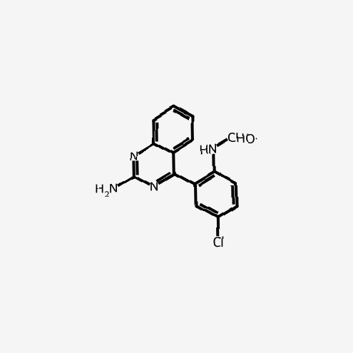 Nc1nc(-c2cc(Cl)ccc2N[C]=O)c2ccccc2n1